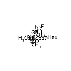 CCCCCCOC(=O)OCOc1c2n(cc(C(=O)NCc3ccc(F)cc3F)c1=O)[C@@H]1CN(C2=O)[C@@H](C)CC[C@]12CC(C)=NO2